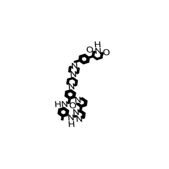 Cc1ccc(NC(=O)c2ccc(N3CCC(N4CCN(Cc5ccc(C6CCC(=O)NC6=O)cc5)CC4)CC3)cc2)cc1Nc1nccc(-c2cccnc2)n1